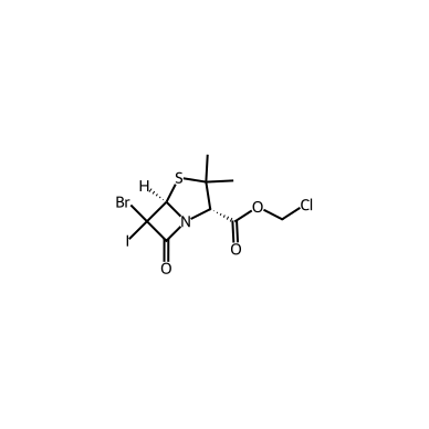 CC1(C)S[C@H]2N(C(=O)C2(Br)I)[C@H]1C(=O)OCCl